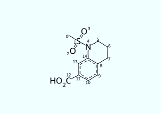 CS(=O)(=O)N1CCCc2ccc(C(=O)O)cc21